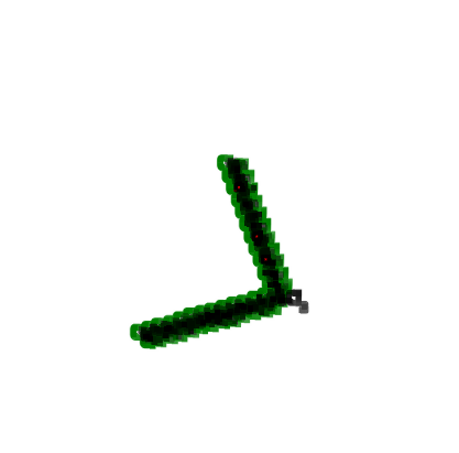 CC(Cl)(Cl)Cl.ClC(Cl)Cl.ClC(Cl)Cl.ClC(Cl)Cl.ClC(Cl)Cl.ClC(Cl)Cl.ClC(Cl)Cl.ClC(Cl)Cl.ClC(Cl)Cl.ClC(Cl)Cl.ClC(Cl)Cl.ClC(Cl)Cl.ClC(Cl)Cl.ClC(Cl)Cl.ClC(Cl)Cl.ClC(Cl)Cl.ClC(Cl)Cl.ClC(Cl)Cl.ClC(Cl)Cl.ClC(Cl)Cl.ClC(Cl)Cl.ClC(Cl)Cl.ClC(Cl)Cl.ClC(Cl)Cl.ClC(Cl)Cl